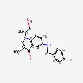 CC(C)(C)[C@@H](CO)n1cc(C(=O)O)c(=O)c2cc(NCc3ccc(F)cc3)c(Cl)cc21